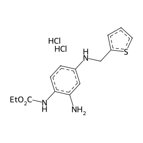 CCOC(=O)Nc1ccc(NCc2cccs2)cc1N.Cl.Cl